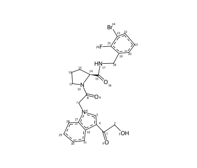 O=C(CO)c1cn(CC(=O)N2CCC[C@H]2C(=O)NCc2cccc(Br)c2F)c2ccccc12